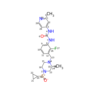 Cc1cc(NC(=O)Nc2cccc(CN3CCN([S+]([O-])C4CC4)C[C@@H]3C)c2F)ccn1